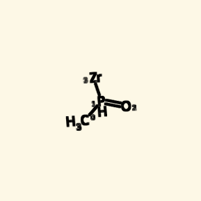 C[PH](=O)[Zr]